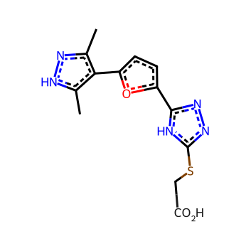 Cc1n[nH]c(C)c1-c1ccc(-c2nnc(SCC(=O)O)[nH]2)o1